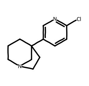 Clc1ccc(C23CCCN(CC2)C3)cn1